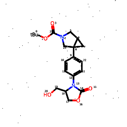 CC(C)(C)OC(=O)N1CC2CC2(c2ccc(N3C(=O)OCC3CO)cc2)C1